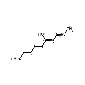 CCCCCCCCCCC(O)=C/C=N/C